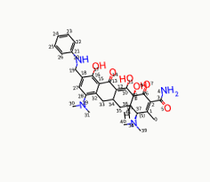 CC1=C(C(N)=O)C(=O)[C@@]2(O)C(O)=C3C(=O)c4c(O)c(CNc5ccccc5)cc(N(C)C)c4CC3C[C@H]2[C@@H]1N(C)C